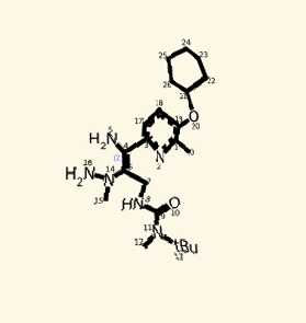 Cc1nc(/C(N)=C(\CNC(=O)N(C)C(C)(C)C)N(C)N)ccc1OC1CCCCC1